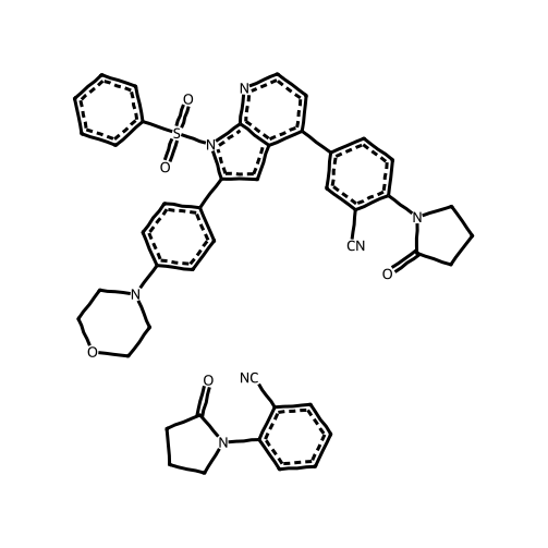 N#Cc1cc(-c2ccnc3c2cc(-c2ccc(N4CCOCC4)cc2)n3S(=O)(=O)c2ccccc2)ccc1N1CCCC1=O.N#Cc1ccccc1N1CCCC1=O